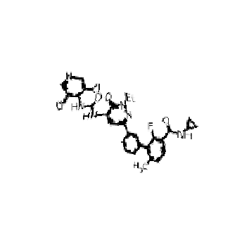 CCn1nc(-c2cccc(-c3c(C)ccc(C(=O)NC4CC4)c3F)c2)cc(NC(=O)Nc2c(Cl)cncc2Cl)c1=O